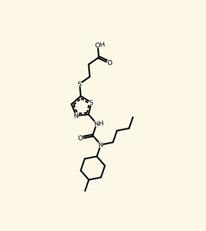 CCCCN(C(=O)Nc1ncc(SCCC(=O)O)s1)C1CCC(C)CC1